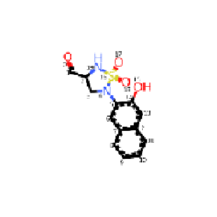 O=CC1CN(c2cc3ccccc3cc2O)S(=O)(=O)N1